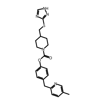 Cc1ccc(Cc2ccc(OC(=O)N3CCC(CSc4nc[nH]n4)CC3)cc2)nc1